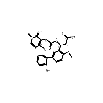 COc1ccc(-c2ccccc2)cc1[C@H](CC(=O)O)NC(=O)Nc1c([O-])ccn(C)c1=O.[Na+]